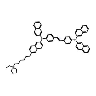 CC[N+](CC)(CC)CCCCCCc1ccc2cc(N(c3ccc(/C=C/c4ccc(N(c5ccc6ccccc6c5)c5ccc6ccccc6c5)cc4)cc3)c3ccc4ccccc4c3)ccc2c1